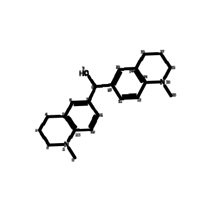 CN1CCCc2cc(C(O)c3ccc4c(c3)CCCN4C)ccc21